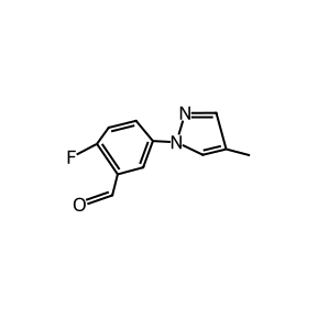 Cc1cnn(-c2ccc(F)c(C=O)c2)c1